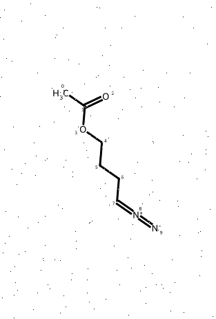 CC(=O)OCCCC=[N+]=[N-]